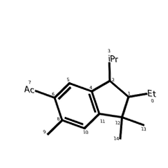 CCC1C(C(C)C)c2cc(C(C)=O)c(C)cc2C1(C)C